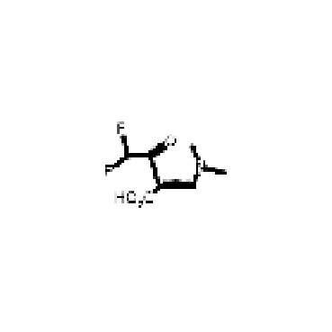 CN(C)C=C(C(=O)O)C(=O)C(F)F